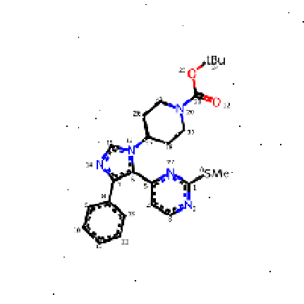 CSc1nccc(-c2c(-c3ccccc3)ncn2C2CCN(C(=O)OC(C)(C)C)CC2)n1